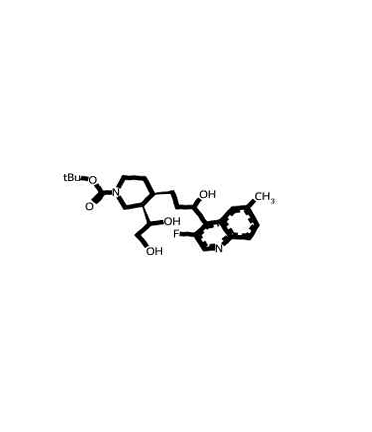 Cc1ccc2ncc(F)c(C(O)CC[C@@H]3CCN(C(=O)OC(C)(C)C)C[C@@H]3C(O)CO)c2c1